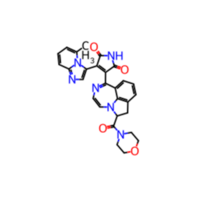 Cc1cccc2ncc(C3=C(C4=NC=CN5c6c(cccc64)CC5C(=O)N4CCOCC4)C(=O)NC3=O)n12